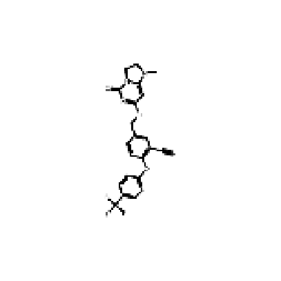 CN1CCn2c1cc(OCc1ccc(Oc3ccc(C(F)(F)F)cn3)c(C#N)c1)nc2=O